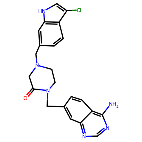 Nc1ncnc2cc(CN3CCN(Cc4ccc5c(Cl)c[nH]c5c4)CC3=O)ccc12